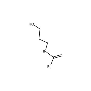 C=C(CC)NCCCO